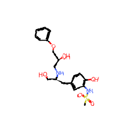 CS(=O)(=O)Nc1cc(C[C@@H](CO)NC[C@H](O)COc2ccccc2)ccc1O